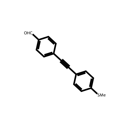 CSc1ccc(C#Cc2ccc(C=O)cc2)cc1